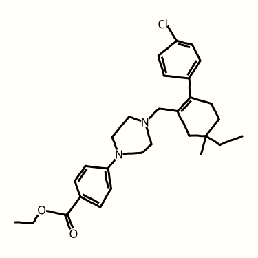 CCOC(=O)c1ccc(N2CCN(CC3=C(c4ccc(Cl)cc4)CCC(C)(CC)C3)CC2)cc1